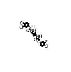 O=C(COc1ccc(Cl)c(F)c1)NC12CC(CNC(=O)Nc3ccc(Cl)c(Cl)c3)(C1)C2